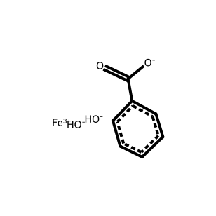 O=C([O-])c1ccccc1.[Fe+3].[OH-].[OH-]